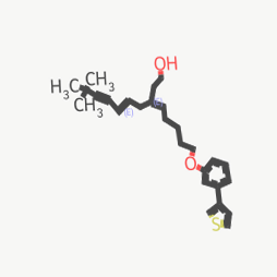 CC(C)(C)C#C/C=C/C/C(=C\CCCCOc1cccc(-c2ccsc2)c1)CCO